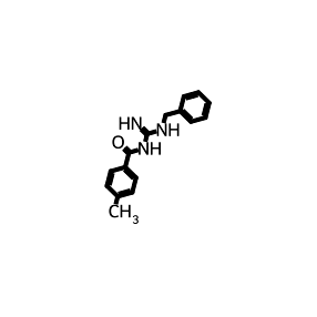 Cc1ccc(C(=O)NC(=N)NCc2ccccc2)cc1